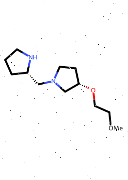 COCCO[C@H]1CCN(C[C@@H]2CCCN2)C1